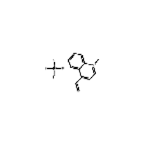 C=Cc1cc[n+](C)c2ccccc12.F[B-](F)(F)F